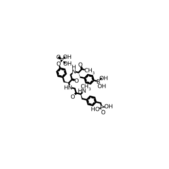 CN[C@@H](Cc1ccc(CP(=O)(O)O)cc1)C(=O)CN[C@@H](Cc1ccc(OP(=O)(O)O)cc1)C(=O)CN[C@@H](Cc1ccc(B(O)O)cc1)C(C)=O